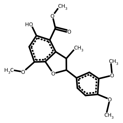 COC(=O)c1c(O)cc(OC)c2c1C(C)C(c1ccc(OC)c(OC)c1)O2